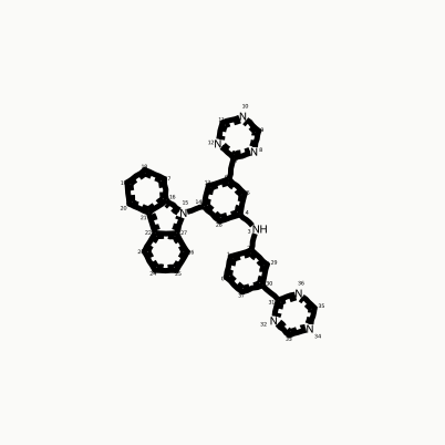 c1cc(Nc2cc(-c3ncncn3)cc(-n3c4ccccc4c4ccccc43)c2)cc(-c2ncncn2)c1